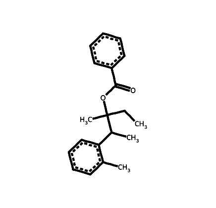 CCC(C)(OC(=O)c1ccccc1)C(C)c1ccccc1C